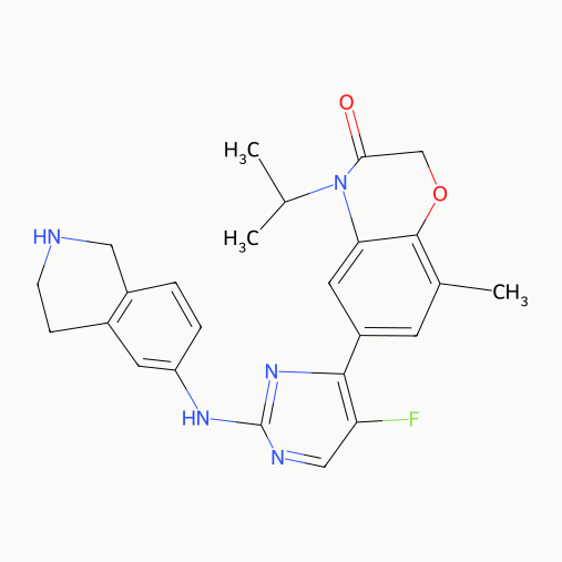 Cc1cc(-c2nc(Nc3ccc4c(c3)CCNC4)ncc2F)cc2c1OCC(=O)N2C(C)C